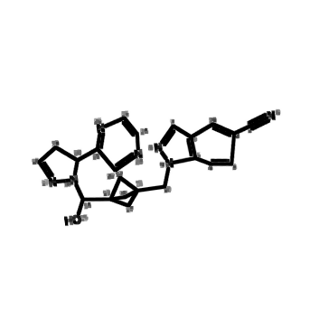 N#Cc1ccc2c(cnn2CC23CC(C(O)N4N=CCC4c4cnccn4)(C2)C3)c1